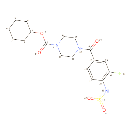 O=C(OC1CCCCC1)N1CCN(C(=O)c2ccc(N[SH](=O)=O)c(F)c2)CC1